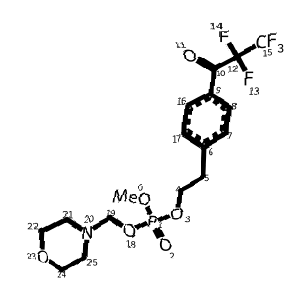 COP(=O)(OCCc1ccc(C(=O)C(F)(F)C(F)(F)F)cc1)OCN1CCOCC1